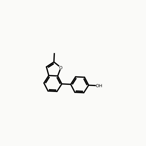 Cc1cc2cccc(-c3ccc(O)cc3)c2o1